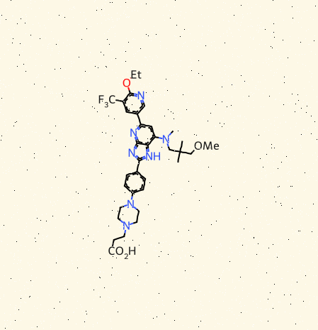 CCOc1ncc(-c2cc(N(C)CC(C)(C)COC)c3[nH]c(-c4ccc(N5CCN(CCC(=O)O)CC5)cc4)nc3n2)cc1C(F)(F)F